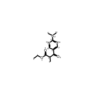 CCOC(=O)C(C)C(=O)c1cnc(N(C)C)nc1